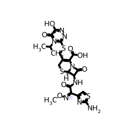 CO/N=C(\C(=O)NC1C(=O)N2C(C(=O)O)=C(CSc3nnc(O)c(=O)n3C(C)C)CS[C@H]12)c1csc(N)n1